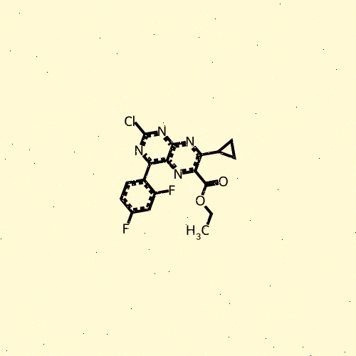 CCOC(=O)c1nc2c(-c3ccc(F)cc3F)nc(Cl)nc2nc1C1CC1